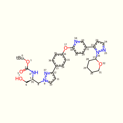 CC(C)(C)OC(=O)N[C@H](CO)Cn1ccc(-c2ccc(Oc3ccc(-c4ccnn4C4CCCCO4)cn3)cc2)n1